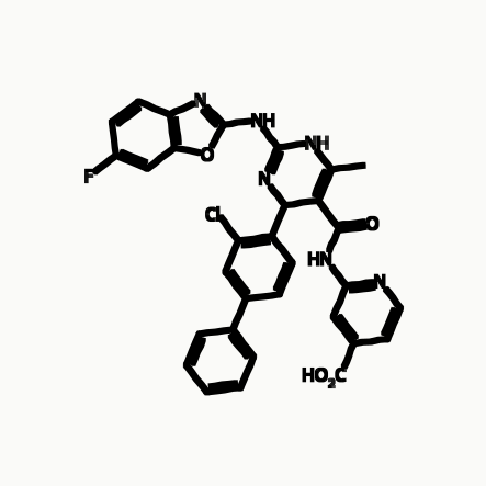 CC1=C(C(=O)Nc2cc(C(=O)O)ccn2)C(c2ccc(-c3ccccc3)cc2Cl)N=C(Nc2nc3ccc(F)cc3o2)N1